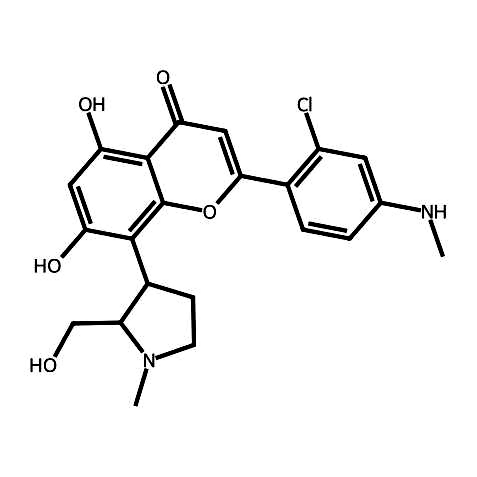 CNc1ccc(-c2cc(=O)c3c(O)cc(O)c(C4CCN(C)C4CO)c3o2)c(Cl)c1